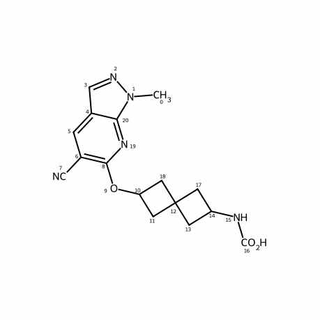 Cn1ncc2cc(C#N)c(OC3CC4(CC(NC(=O)O)C4)C3)nc21